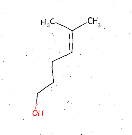 CC(C)=CCC[CH]O